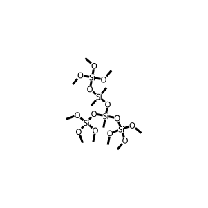 CO[Si](OC)(OC)O[Si](C)(C)O[Si](C)(O[Si](OC)(OC)OC)O[Si](OC)(OC)OC